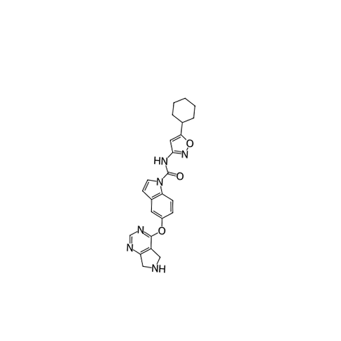 O=C(Nc1cc(C2CCCCC2)on1)n1ccc2cc(Oc3ncnc4c3CNC4)ccc21